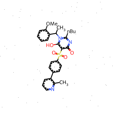 CCCCc1nc(=O)c(S(=O)(=O)c2ccc(-c3cccnc3C)cc2)c(O)n1C(C)c1ccccc1OC